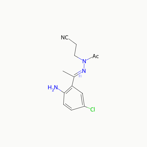 CC(=O)N(CCC#N)/N=C(\C)c1cc(Cl)ccc1N